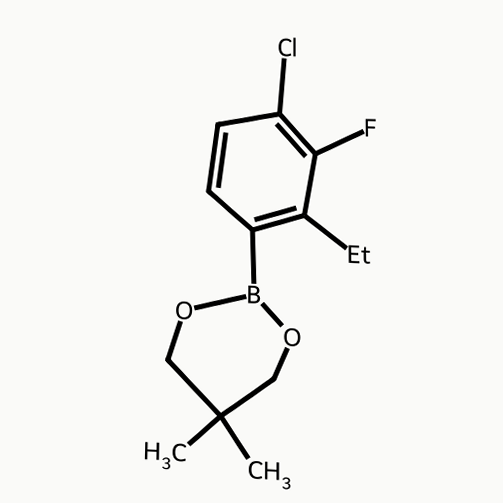 CCc1c(B2OCC(C)(C)CO2)ccc(Cl)c1F